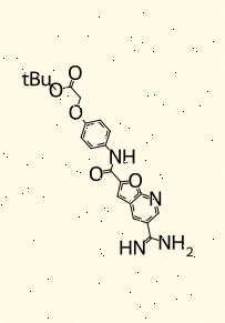 CC(C)(C)OC(=O)COc1ccc(NC(=O)c2cc3cc(C(=N)N)cnc3o2)cc1